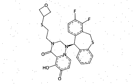 O=C1c2c(O)c(=O)ccn2N([C@@H]2c3ccccc3SCc3c2ccc(F)c3F)CN1CCSC1COC1